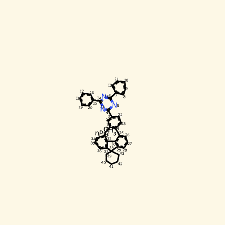 CCCc1cc(-c2nc(-c3ccccc3)nc(-c3ccccc3)n2)ccc1-c1cccc2c1-c1c(C)cccc1C21CCCCC1